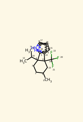 CC1CCC(c2ccc[nH]2)(C(C)C)C(c2ccc[nH]2)(C(F)(F)F)C1